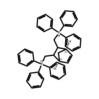 C1=C[C@H]2C[C@@H]1C(C[PH](c1ccccc1)(c1ccccc1)c1ccccc1)C2C[PH](c1ccccc1)(c1ccccc1)c1ccccc1